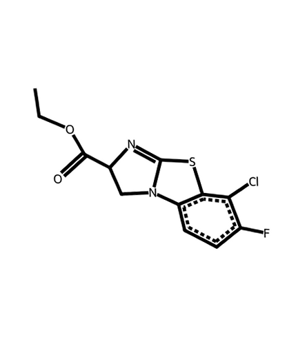 CCOC(=O)C1CN2C(=N1)Sc1c2ccc(F)c1Cl